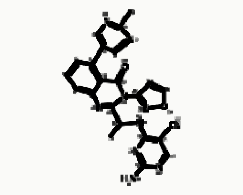 Cc1ncc(-c2cccc3nc(C(C)Nc4nc(N)ncc4C#N)n(-c4ccon4)c(=O)c23)cn1